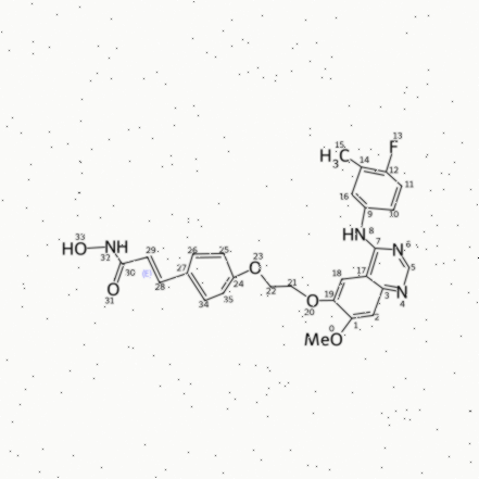 COc1cc2ncnc(Nc3ccc(F)c(C)c3)c2cc1OCCOc1ccc(/C=C/C(=O)NO)cc1